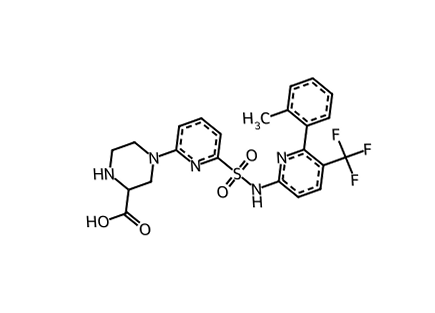 Cc1ccccc1-c1nc(NS(=O)(=O)c2cccc(N3CCNC(C(=O)O)C3)n2)ccc1C(F)(F)F